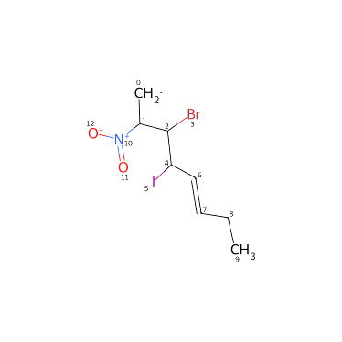 [CH2]C(C(Br)C(I)/C=C/CC)[N+](=O)[O-]